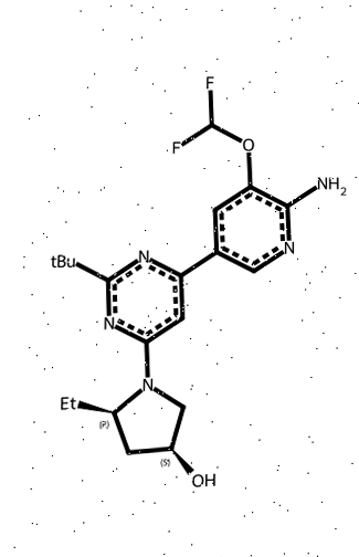 CC[C@@H]1C[C@H](O)CN1c1cc(-c2cnc(N)c(OC(F)F)c2)nc(C(C)(C)C)n1